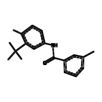 Cc1cccc(C(=O)Nc2ccc(C)c(C(C)(C)C)c2)c1